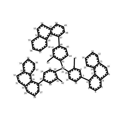 Cc1cc(-c2cccc3ccc4ccccc4c23)ccc1N(c1ccc(-c2cccc3ccc4ccccc4c23)cc1C)c1ccc(-c2cccc3ccc4ccccc4c23)cc1C